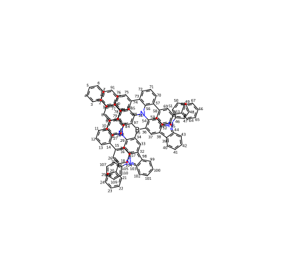 C1=C(c2ccccc2)C=C(c2cccc(C3=CCCC(c4ccccc4)=C3)c2N2c3cc4c(cc3B3c5cc6c7ccccc7n(-c7ccccc7)c6cc5N(c5c(-c6cccc(-c7ccccc7)c6)cccc5-c5cccc(-c6ccccc6)c5)c5cc(-c6ccccc6)cc2c53)c2ccccc2n4-c2ccccc2)CC1